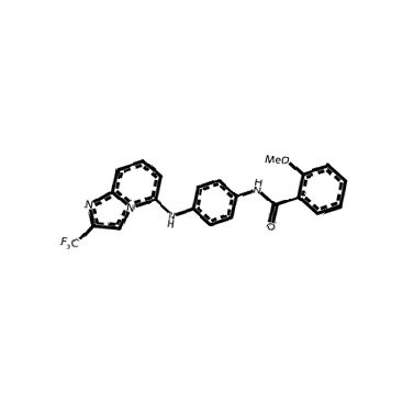 COc1ccccc1C(=O)Nc1ccc(Nc2cccc3nc(C(F)(F)F)cn23)cc1